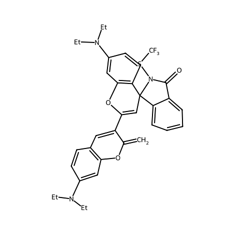 C=C1Oc2cc(N(CC)CC)ccc2C=C1C1=CC2(c3ccc(N(CC)CC)cc3O1)c1ccccc1C(=O)N2SC(F)(F)F